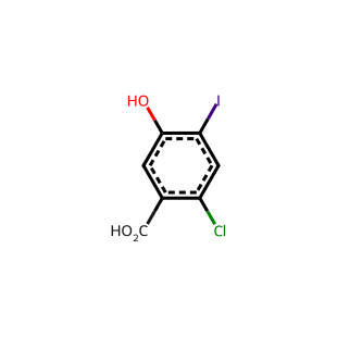 O=C(O)c1cc(O)c(I)cc1Cl